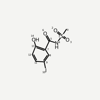 CS(=O)(=O)NC(=O)c1cc(I)ccc1O